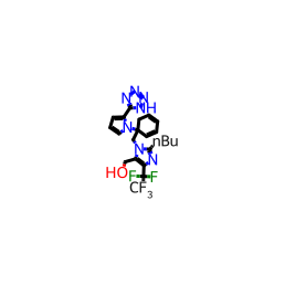 CCCCc1nc(C(F)(F)C(F)(F)F)c(CO)n1CC1(n2cccc2-c2nnn[nH]2)C=CC=CC1